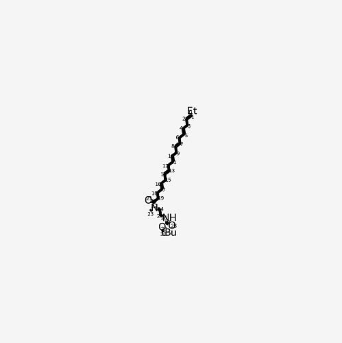 CCC=CCC=CCC=CCC=CCC=CCC=CCCC(=O)N(C)CCNC(=O)OC(C)(C)C